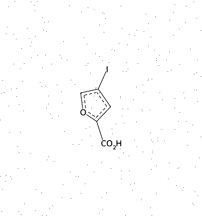 O=C(O)c1cc(I)co1